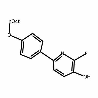 CCCCCCCCOc1ccc(-c2ccc(O)c(F)n2)cc1